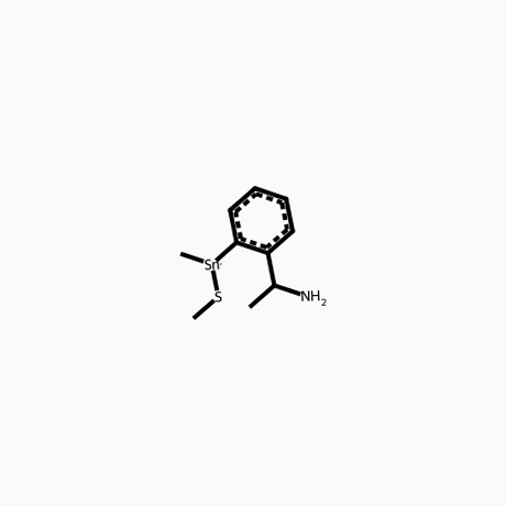 C[S][Sn]([CH3])[c]1ccccc1C(C)N